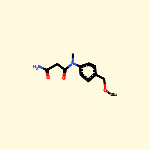 CN(C(=O)CC(N)=O)c1ccc(COC(C)(C)C)cc1